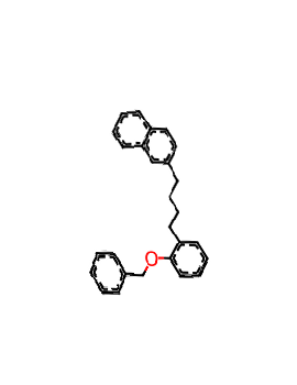 c1ccc(COc2ccccc2CCCCc2ccc3ccccc3c2)cc1